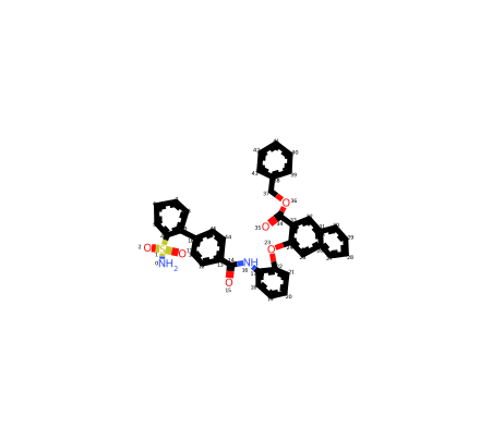 NS(=O)(=O)c1ccccc1-c1ccc(C(=O)Nc2ccccc2Oc2cc3ccccc3cc2C(=O)OCc2ccccc2)cc1